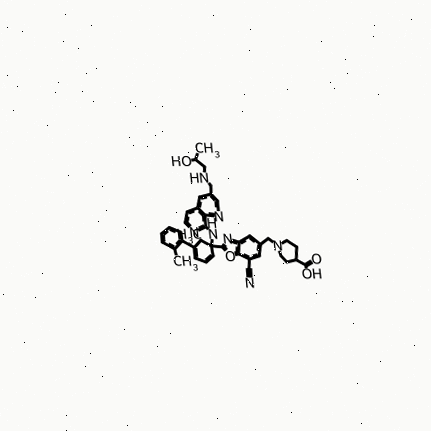 Cc1ccccc1C1=CC=CC(Nc2nccc3cc(CNCC(C)O)cnc23)(c2nc3cc(CN4CCC(C(=O)O)CC4)cc(C#N)c3o2)[C@@H]1C